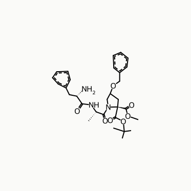 COC(=O)[C@]1(C(=O)OC(C)(C)C)CC(OCc2ccccc2)CN1C(=O)[C@H](C)NC(=O)[C@@H](N)Cc1ccccc1